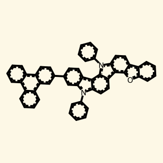 c1ccc(-n2c3cc(-c4ccc5c6ccccc6c6ccccc6c5c4)ccc3c3c2ccc2c4c5oc6ccccc6c5ccc4n(-c4ccccc4)c23)cc1